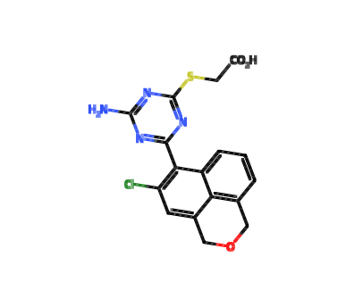 Nc1nc(SCC(=O)O)nc(-c2c(Cl)cc3c4c(cccc24)COC3)n1